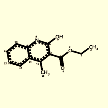 CCOC(=O)c1c(O)nc2ccncc2c1C